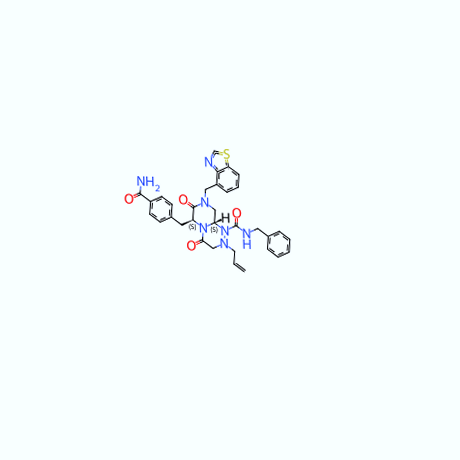 C=CCN1CC(=O)N2[C@@H](Cc3ccc(C(N)=O)cc3)C(=O)N(Cc3cccc4scnc34)C[C@@H]2N1C(=O)NCc1ccccc1